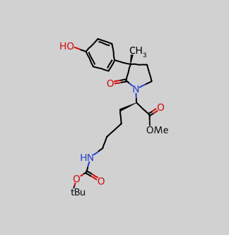 COC(=O)[C@@H](CCCCNC(=O)OC(C)(C)C)N1CC[C@@](C)(c2ccc(O)cc2)C1=O